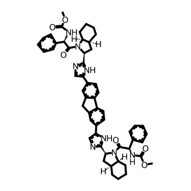 COC(=O)N[C@@H](C(=O)N1[C@H](c2ncc(-c3ccc4c(c3)Cc3cc(-c5cnc([C@@H]6C[C@@H]7CCCC[C@@H]7N6C(=O)[C@H](NC(=O)OC)c6ccccc6)[nH]5)ccc3-4)[nH]2)C[C@@H]2CCCC[C@@H]21)c1ccccc1